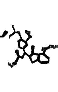 C1CC1.CCOc1cc(C(CC(N)=O)N2Cc3cccc(NC(=O)O)c3C2=O)ccc1OC(F)F